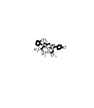 Cc1ccccc1-n1nc(Cn2nc(-c3ccc(Cl)cc3)n(C[C@H](O)C(F)(F)F)c2=O)nc1C(C)N